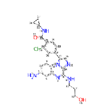 Nc1ccc2c(c1)nc(NCCCO)c1ncc(-c3ccc(C(=O)NC4CC4)c(Cl)c3)n12